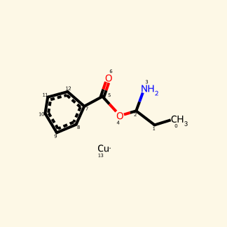 CCC(N)OC(=O)c1ccccc1.[Cu]